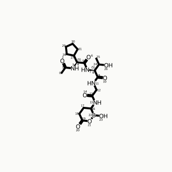 CC(=O)N[C@H](C(=O)N[C@H](C(=O)NCC(=O)NC1CCC(=O)OB1O)C(C)O)C1CCCC1